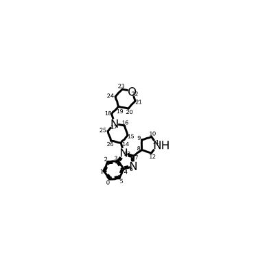 c1ccc2c(c1)nc(C1CCNC1)n2C1CCN(CC2CCOCC2)CC1